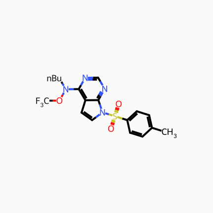 CCCCN(OC(F)(F)F)c1ncnc2c1ccn2S(=O)(=O)c1ccc(C)cc1